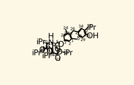 Cc1cc(OCP(=O)(NC(C(=O)OC(C)C)C(C)C)NC(C(=O)OC(C)C)C(C)C)cc(C)c1Cc1ccc(O)c(C(C)C)c1